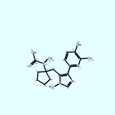 Cc1nc(-c2ncn(C)c2CC2(N(C)C(=O)O)CCCC2)ccc1O